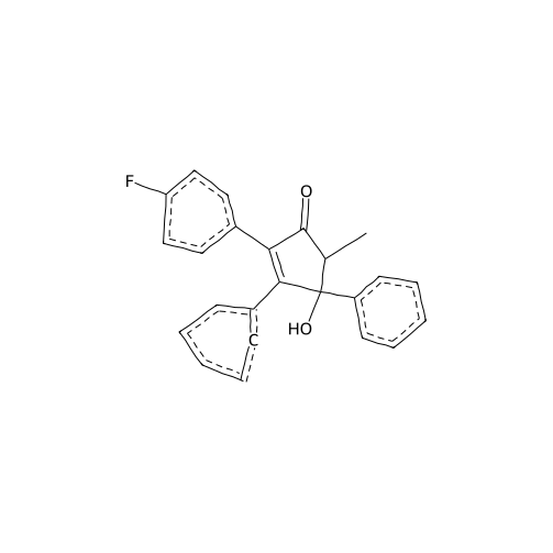 CC1C(=O)C(c2ccc(F)cc2)=C(c2ccccc2)C1(O)c1ccccc1